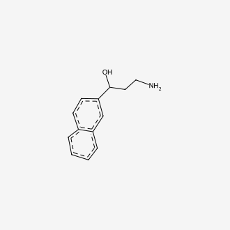 NCCC(O)c1ccc2ccccc2c1